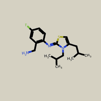 CC(C)Cc1csc(=Nc2ccc(F)cc2CN)n1CC(C)C